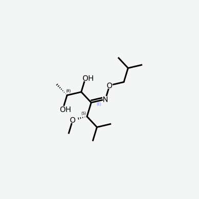 CO[C@H](/C(=N/OCC(C)C)C(O)[C@@H](C)O)C(C)C